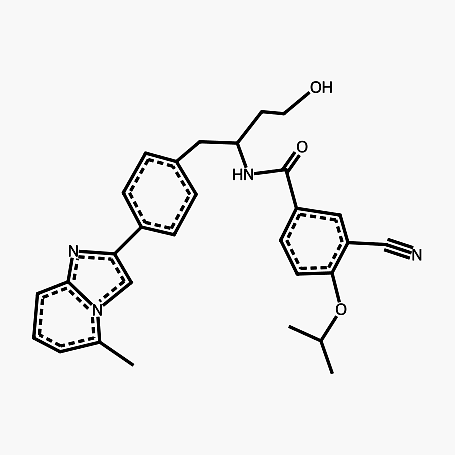 Cc1cccc2nc(-c3ccc(CC(CCO)NC(=O)c4ccc(OC(C)C)c(C#N)c4)cc3)cn12